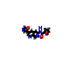 O=C(Nc1cc2cc(-c3cnco3)cnc2cn1)C1CCCO1